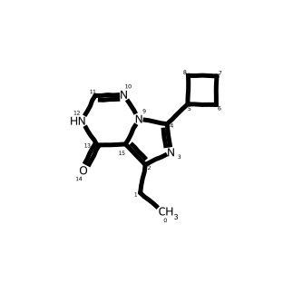 CCc1nc(C2CCC2)n2nc[nH]c(=O)c12